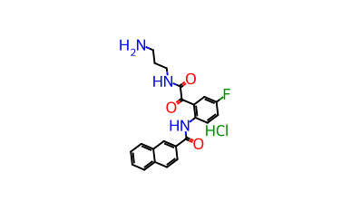 Cl.NCCCNC(=O)C(=O)c1cc(F)ccc1NC(=O)c1ccc2ccccc2c1